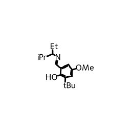 CCC(/N=C/c1cc(OC)cc(C(C)(C)C)c1O)C(C)C